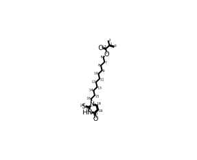 C=C(C)C(=O)OCCCCCCCCCCCn1ccc(=O)[nH]c1=S